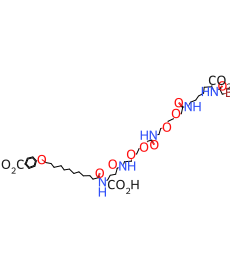 O=C(CCC(NC(=O)CCCCCCCCCCCOc1ccc(C(=O)O)cc1)C(=O)O)NCCOCCOCC(=O)NCCOCCOCC(=O)NCCCCCC(NC(=O)CBr)C(=O)O